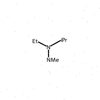 CCN(NC)C(C)C